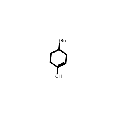 CC(C)(C)C1CC=C(O)CC1